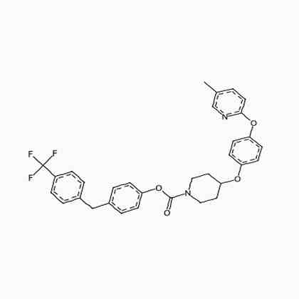 Cc1ccc(Oc2ccc(OC3CCN(C(=O)Oc4ccc(Cc5ccc(C(F)(F)F)cc5)cc4)CC3)cc2)nc1